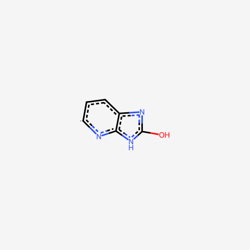 Oc1nc2cc[c]nc2[nH]1